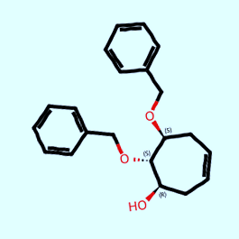 O[C@@H]1CC=CC[C@H](OCc2ccccc2)[C@H]1OCc1ccccc1